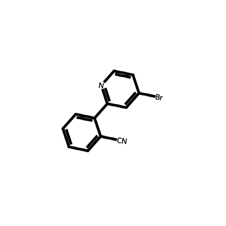 N#Cc1ccccc1-c1cc(Br)ccn1